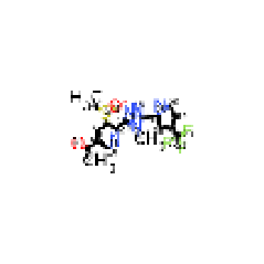 CC[S+]([O-])c1cc(C(C)=O)cnc1-c1nnc(-c2cc(C(F)(F)F)ccn2)n1C